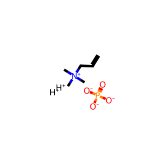 C=CC[N+](C)(C)C.O=P([O-])([O-])[O-].[H+].[H+]